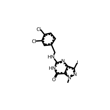 Cn1nc(I)c2nc(NCc3ccc(Cl)c(Cl)c3)[nH]c(=O)c21